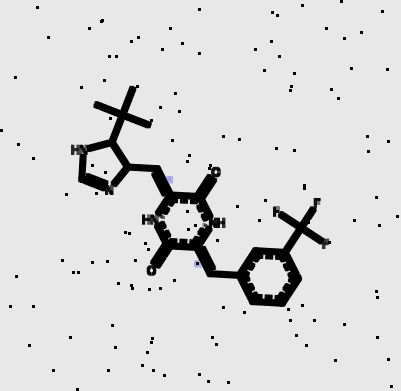 CC(C)(C)C1NC=NC1/C=c1\[nH]c(=O)/c(=C/c2cccc(C(F)(F)F)c2)[nH]c1=O